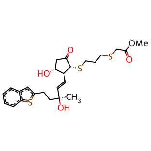 COC(=O)CSCCCS[C@H]1C(=O)C[C@@H](O)[C@@H]1/C=C/[C@@](C)(O)CCc1cc2ccccc2s1